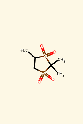 [CH2]C1CS(=O)(=O)C(C)(C)S1(=O)=O